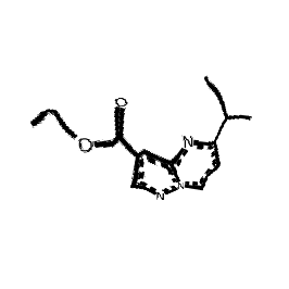 CCOC(=O)c1cnn2ccc(C(C)C)nc12